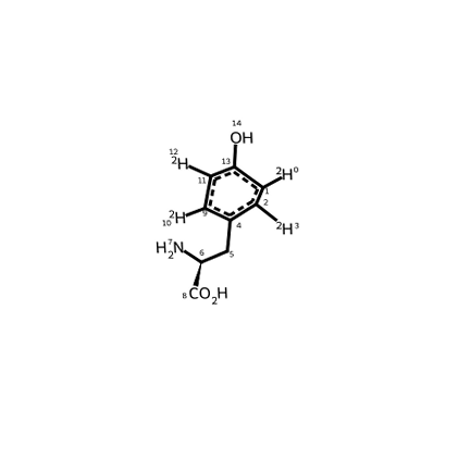 [2H]c1c([2H])c(C[C@H](N)C(=O)O)c([2H])c([2H])c1O